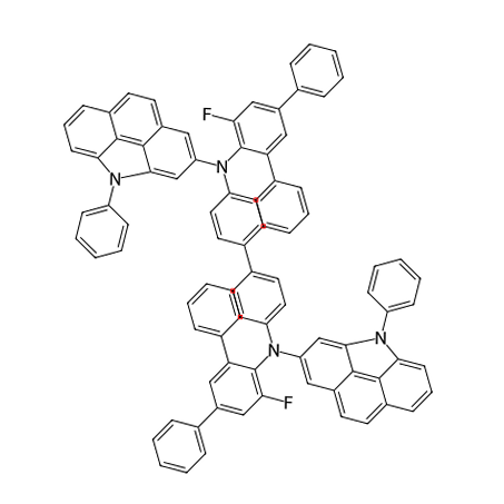 Fc1cc(-c2ccccc2)cc(-c2ccccc2)c1N(c1ccc(-c2ccc(N(c3cc4ccc5cccc6c5c4c(c3)n6-c3ccccc3)c3c(F)cc(-c4ccccc4)cc3-c3ccccc3)cc2)cc1)c1cc2ccc3cccc4c3c2c(c1)n4-c1ccccc1